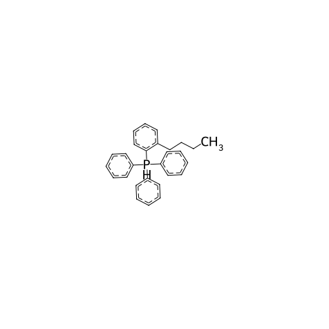 CCCCc1ccccc1[PH](c1ccccc1)(c1ccccc1)c1ccccc1